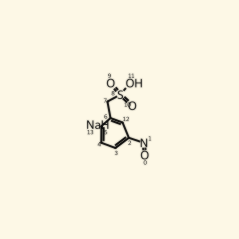 O=Nc1cccc(CS(=O)(=O)O)c1.[NaH]